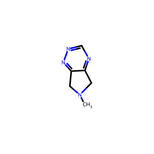 CN1Cc2ncnnc2C1